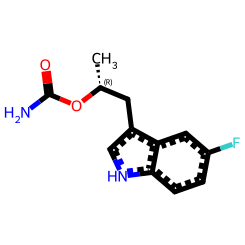 C[C@H](Cc1c[nH]c2ccc(F)cc12)OC(N)=O